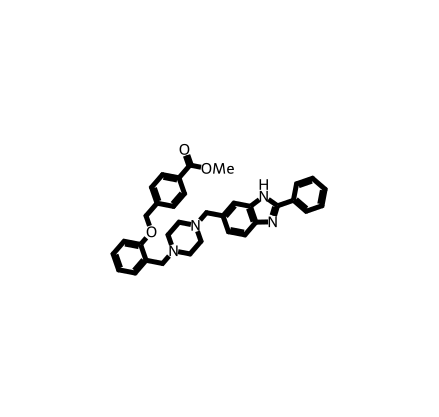 COC(=O)c1ccc(COc2ccccc2CN2CCN(Cc3ccc4nc(-c5ccccc5)[nH]c4c3)CC2)cc1